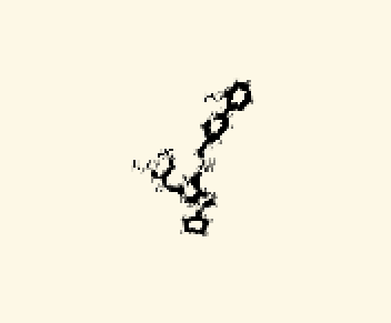 CC[C@H](CO)Nc1nc(NCc2ccc(-c3ccccc3O)nc2)c2ncn(C3CCCC3)c2n1